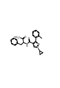 Cc1ccccc1-c1nn(C2CC2)cc1C(=O)NC(Cc1ccccc1)C(=O)C(=O)O